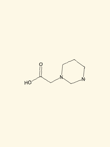 O=C(O)CN1CCC[N]C1